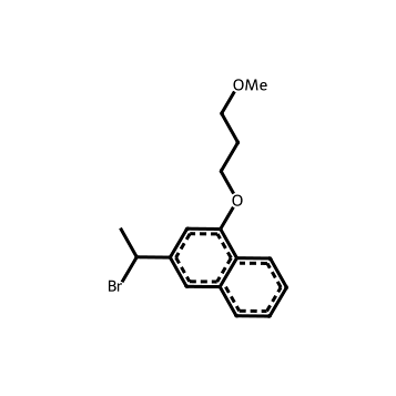 COCCCOc1cc(C(C)Br)cc2ccccc12